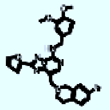 COc1ccc(CNc2ncc(CN3CCc4ccc(Br)cc4C3)c3nc(-c4ccco4)nn23)cc1OC